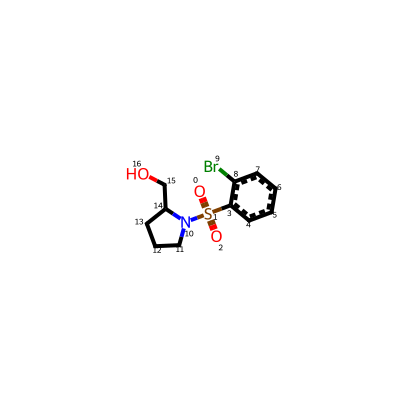 O=S(=O)(c1ccccc1Br)N1CCCC1CO